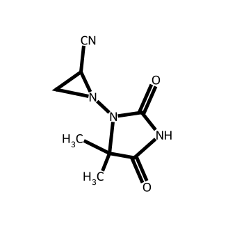 CC1(C)C(=O)NC(=O)N1N1CC1C#N